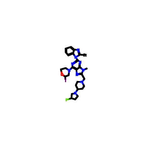 CCc1nc2ccccc2n1-c1nc(N2CCOC(I)C2)c2nc(CN3CCC(N4CCC(F)C4)CC3)n(C)c2n1